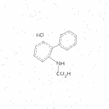 Cl.O=C(O)Nc1ccccc1-c1ccccc1